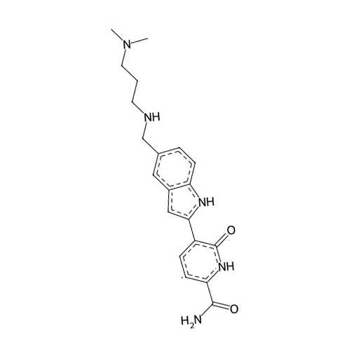 CN(C)CCCNCc1ccc2[nH]c(-c3c[c]c(C(N)=O)[nH]c3=O)cc2c1